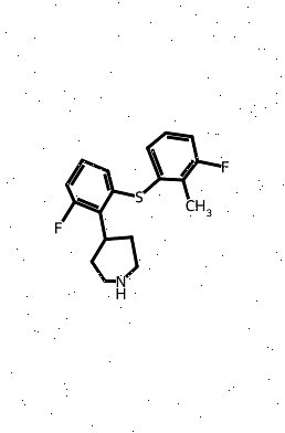 Cc1c(F)cccc1Sc1cccc(F)c1C1CCNCC1